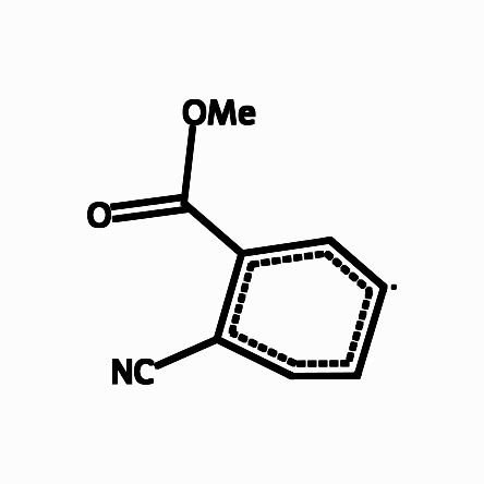 COC(=O)c1c[c]ccc1C#N